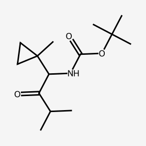 CC(C)C(=O)C(NC(=O)OC(C)(C)C)C1(C)CC1